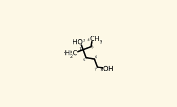 [CH2]C(O)(CC)CCCO